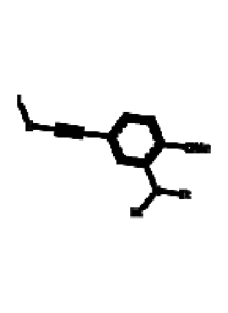 CCN(CC)c1cc(C#CSI)ccc1OC